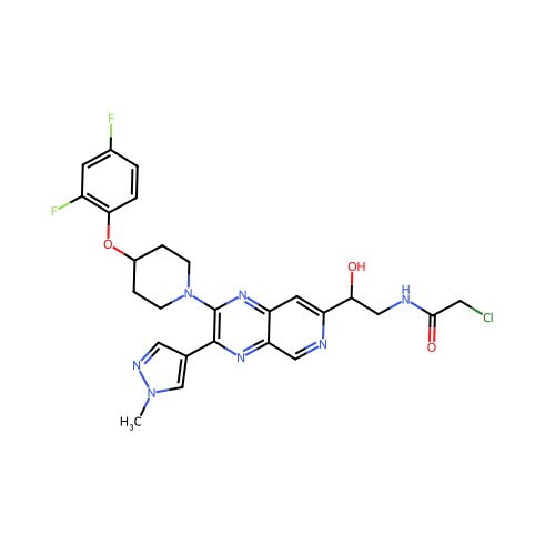 Cn1cc(-c2nc3cnc(C(O)CNC(=O)CCl)cc3nc2N2CCC(Oc3ccc(F)cc3F)CC2)cn1